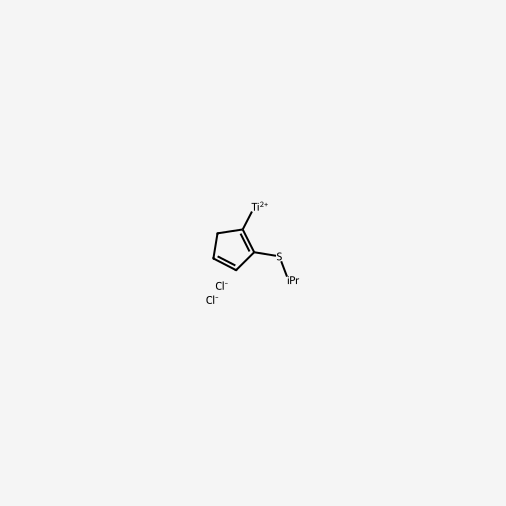 CC(C)SC1=[C]([Ti+2])CC=C1.[Cl-].[Cl-]